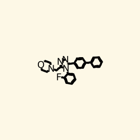 Fc1ccccc1-n1c(CN2CCOCC2)nnc1-c1ccc(-c2ccccc2)cc1